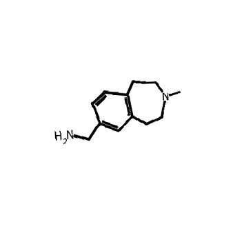 CN1CCc2ccc(CN)cc2CC1